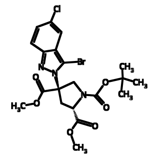 COC(=O)[C@@H]1C[C@@](C(=O)OC)(n2nc3ccc(Cl)cc3c2Br)CN1C(=O)OC(C)(C)C